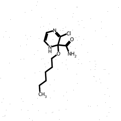 CCCCCCOC1(C(N)=O)NC=CN=C1Cl